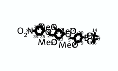 COc1cc(OCc2c(OC)cc(B3OC(C)(C)C(C)(C)O3)cc2OC)cc(OC)c1COc1ccc([N+](=O)[O-])cc1